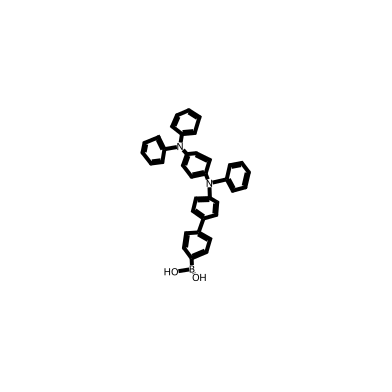 OB(O)c1ccc(-c2ccc(N(c3ccccc3)c3ccc(N(c4ccccc4)c4ccccc4)cc3)cc2)cc1